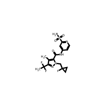 Cc1c(C(C)(F)F)nn(CC2(F)CC2)c1C(=O)Nc1ccnc(S(N)(=O)=O)c1